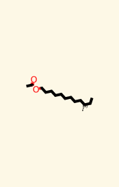 CC[C@H](C)CCCCCCCCCOC(C)=O